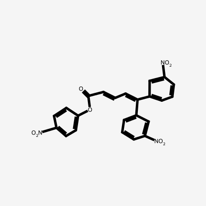 O=C(C=CC=C(c1cccc([N+](=O)[O-])c1)c1cccc([N+](=O)[O-])c1)Oc1ccc([N+](=O)[O-])cc1